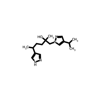 CC(C)c1cnn(CC(C)(O)CCC(C)c2cn[nH]c2)c1